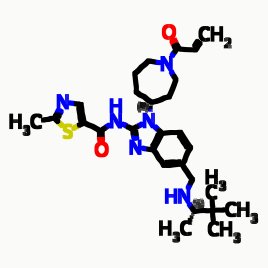 C=CC(=O)N1CCC[C@@H](n2c(NC(=O)c3cnc(C)s3)nc3cc(CN[C@@H](C)C(C)(C)C)ccc32)CC1